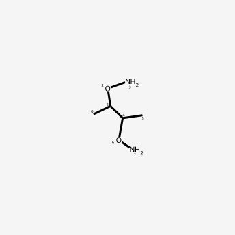 CC(ON)C(C)ON